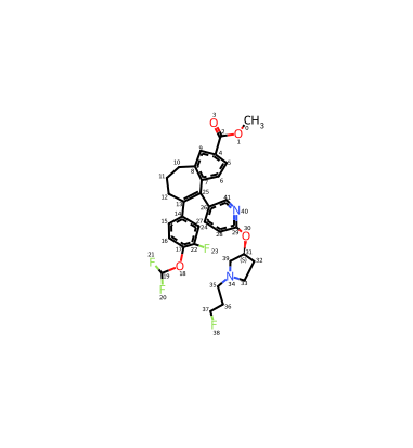 COC(=O)c1ccc2c(c1)CCCC(c1ccc(OC(F)F)c(F)c1)=C2c1ccc(O[C@H]2CCN(CCCF)C2)nc1